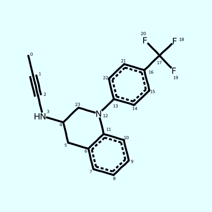 CC#CNC1Cc2ccccc2N(c2ccc(C(F)(F)F)cc2)C1